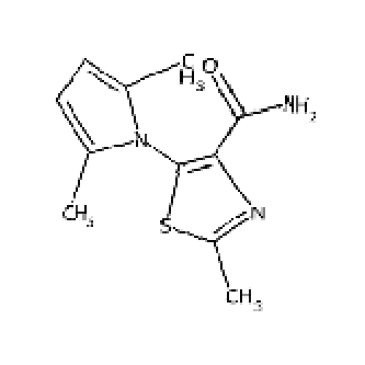 Cc1nc(C(N)=O)c(-n2c(C)ccc2C)s1